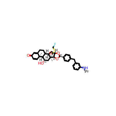 CC(C)Nc1cccc(Cc2ccc([C@@H]3O[C@@H]4C[C@H]5[C@@H]6CCC7=CC(=O)C=C[C@]7(C)[C@H]6[C@@H](O)C[C@]5(C)[C@]4(C(=O)SCF)O3)cc2)c1